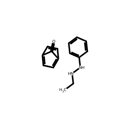 CCNNc1ccccc1.O=C1C2=CC=C1C=C2